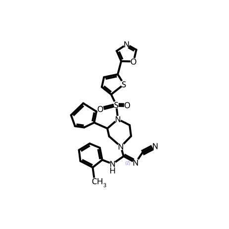 Cc1ccccc1N/C(=N/C#N)N1CCN(S(=O)(=O)c2ccc(-c3cnco3)s2)C(c2ccccc2)C1